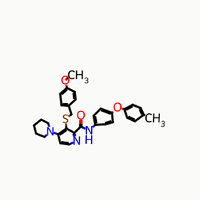 COc1ccc(CSc2c(N3CCCCC3)ccnc2C(=O)Nc2ccc(Oc3ccc(C)cc3)cc2)cc1